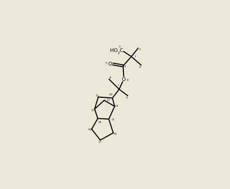 CC(C)(C(=O)O)C(=O)OC(C)(C)C1CC2CC1C1CCCC21